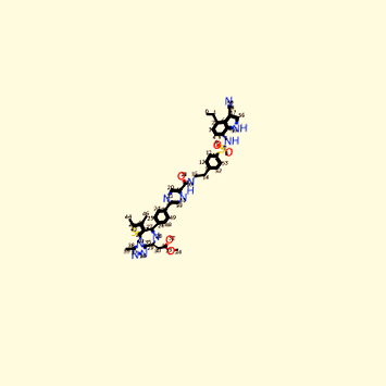 CCc1ccc(NS(=O)(=O)c2ccc(CCNC(=O)c3cnc(-c4ccc(C5=N[C@@H](CC(=O)OC)c6nnc(C)n6-c6sc(C)c(C)c65)cc4)cn3)cc2)c2[nH]cc(C#N)c12